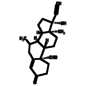 C#C[C@]1(O)CC[C@H]2[C@@H]3C(C)CC4=CC(=O)CC[C@]4(C=O)[C@H]3CC[C@@]21C